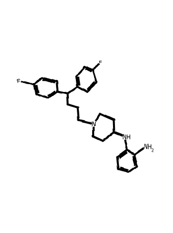 Nc1ccccc1NC1CCN(CCCC(c2ccc(F)cc2)c2ccc(F)cc2)CC1